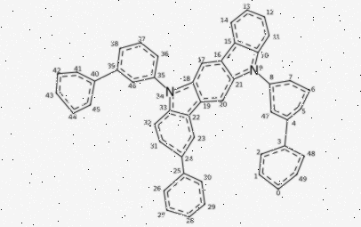 c1ccc(-c2cccc(-n3c4ccccc4c4cc5c(cc43)c3cc(-c4ccccc4)ccc3n5-c3cccc(-c4ccccc4)c3)c2)cc1